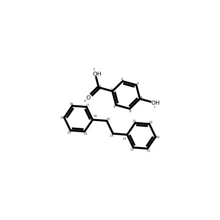 O=C(O)c1ccc(O)cc1.c1ccc(CCc2ccccc2)cc1